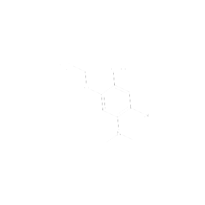 CN(C)c1cc(OCC(=O)O)c(C=O)cc1Br